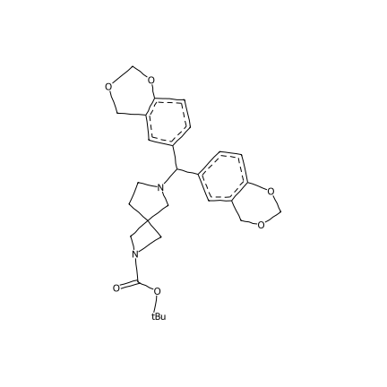 CC(C)(C)OC(=O)N1CC2(CCN(C(c3ccc4c(c3)COCO4)c3ccc4c(c3)COCO4)C2)C1